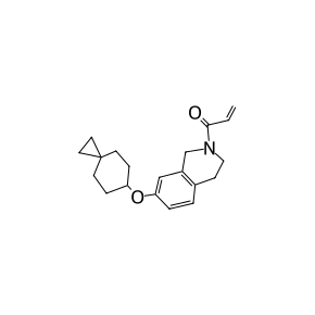 C=CC(=O)N1CCc2ccc(OC3CCC4(CC3)CC4)cc2C1